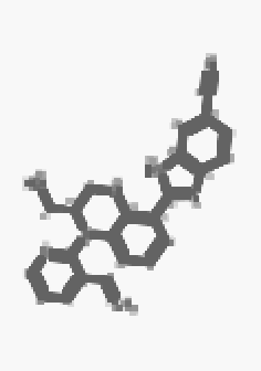 C=Cc1cccnc1N1c2cccc(-c3nc4ccc(C#N)cc4[nH]3)c2OC[C@@H]1CO